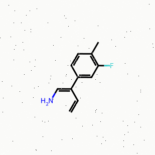 C=C/C(=C\N)c1ccc(C)c(F)c1